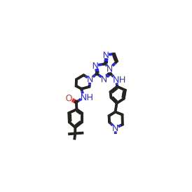 CN1CCC(c2ccc(Nc3nc(N4CCCC(NC(=O)c5ccc(C(C)(C)C)cc5)C4)nc4nccn34)cc2)CC1